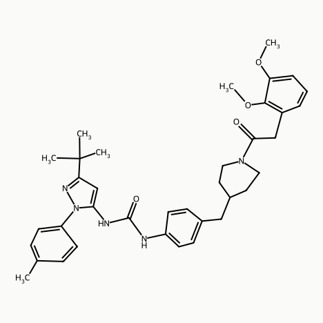 COc1cccc(CC(=O)N2CCC(Cc3ccc(NC(=O)Nc4cc(C(C)(C)C)nn4-c4ccc(C)cc4)cc3)CC2)c1OC